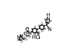 Cl.N#CC1(c2ccc(-c3ccc(N4C[C@H](Cn5ccnn5)OC4=O)cc3F)cc2)C2CNCC21